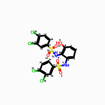 O=S(=O)(Nc1cccc(O)c1NS(=O)(=O)c1ccc(Cl)c(Cl)c1)c1ccc(Cl)c(Cl)c1